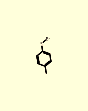 Cc1ccc(SBr)cc1